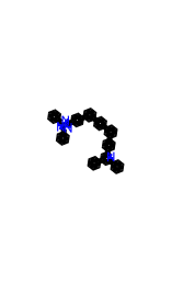 c1ccc(-c2cc(-c3ccccc3)nc(-c3ccc(-c4cccc(-c5ccc(-c6cccc(-c7ccc(-c8nc(-c9ccccc9)nc(-c9ccccc9)n8)cc7)c6)cc5)c4)cc3)c2)cc1